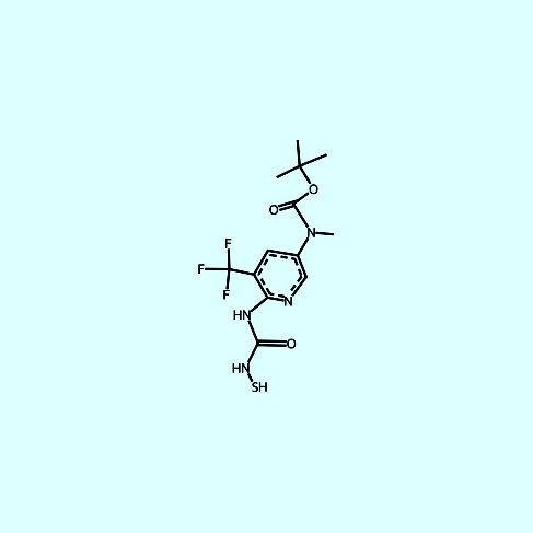 CN(C(=O)OC(C)(C)C)c1cnc(NC(=O)NS)c(C(F)(F)F)c1